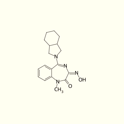 Cn1c(=O)c(=NO)nc(N2CC3CCCCC3C2)c2ccccc21